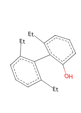 CCc1cccc(O)c1-c1c(CC)cccc1CC